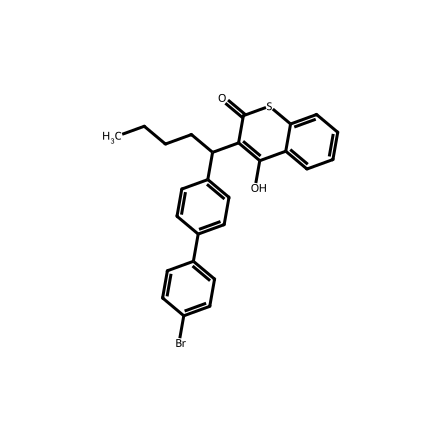 CCCCC(c1ccc(-c2ccc(Br)cc2)cc1)c1c(O)c2ccccc2sc1=O